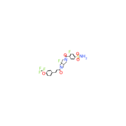 NS(=O)(=O)c1ccc(C(=O)N2CC3CN(C(=O)C=Cc4ccc(OC(F)(F)F)cc4)CC3(F)C2)c(F)c1